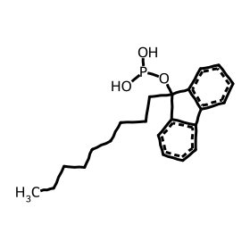 CCCCCCCCCC1(OP(O)O)c2ccccc2-c2ccccc21